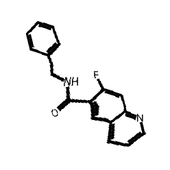 O=C(NCc1ccccc1)c1cc2cccnc2cc1F